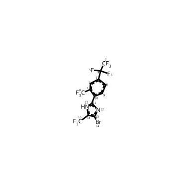 FC(F)(F)c1cc(C(F)(F)C(F)(F)F)ccc1-c1nc(Br)c(C(F)(F)F)[nH]1